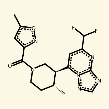 Cc1cc(C(=O)N2CC[C@@H](C)[C@H](c3cc(C(F)F)nc4ncnn34)C2)no1